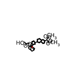 COC(=O)C(C(=O)OC)c1ccc2cc(-c3ccc(OCC(O)CO)c(C45CC6CC(CC(C6)C4)C5)c3)ccc2c1